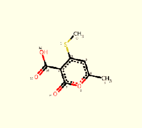 CSc1cc(C)oc(=O)c1C(=O)O